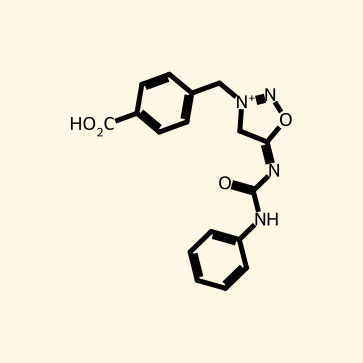 O=C(/N=C1\C[N+](Cc2ccc(C(=O)O)cc2)=NO1)Nc1ccccc1